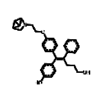 OCCC/C(=C(\c1ccc(O)cc1)c1ccc(OCCN2CC3C4C3C42)cc1)c1ccccc1